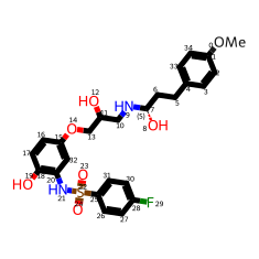 COc1ccc(CC[C@H](O)NCC(O)COc2ccc(O)c(NS(=O)(=O)c3ccc(F)cc3)c2)cc1